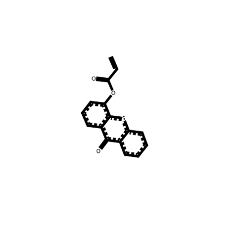 C=CC(=O)Oc1cccc2c(=O)c3ccccc3sc12